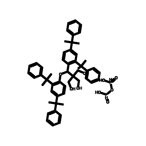 CC(C)(c1ccccc1)c1ccc(OC(c2ccc(C(C)(C)c3ccccc3)cc2C(C)(C)c2ccccc2)C(CO)(CO)CO)c(C(C)(C)c2ccccc2)c1.O=[PH](O)O[PH](=O)O